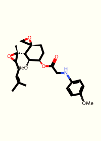 COc1ccc(NCC(=O)O[C@@H]2CC[C@]3(CO3)[C@@H]([C@@]3(C)OC3CC=C(C)C)[C@@H]2OC)cc1